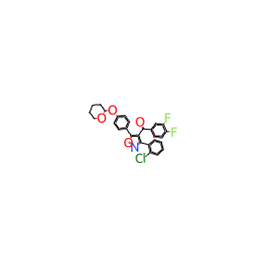 O=C(c1ccc(F)c(F)c1)c1c(-c2ccccc2Cl)noc1-c1ccc(OC2CCCCO2)cc1